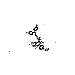 CC(C)(C)c1ccc(C(=O)NC(C(=O)CCCCC(c2ccc(F)cc2)c2ccc(F)cc2)C2CCNC2)cc1